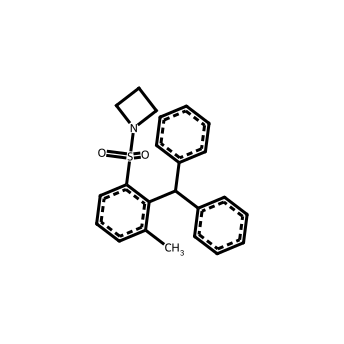 Cc1cccc(S(=O)(=O)N2CCC2)c1C(c1ccccc1)c1ccccc1